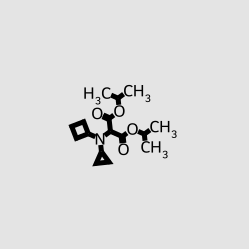 CC(C)OC(=O)C(C(=O)OC(C)C)N(C1CCC1)C1CC1